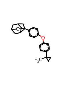 FC(F)(F)C1(c2ccc(Oc3ccc(C45CC6CC(CC4C6)C5)cc3)cc2)CC1